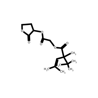 CC(C)=CC(C)(C(=O)OCC(=O)OC1CCOC1=O)C(C)(C)C